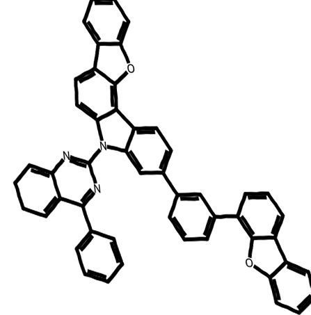 C1=c2nc(-n3c4cc(-c5cccc(-c6cccc7c6oc6ccccc67)c5)ccc4c4c5oc6ccccc6c5ccc43)nc(-c3ccccc3)c2=CCC1